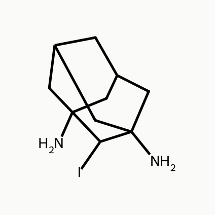 NC12CC3CC(C1)CC(N)(C3)C2I